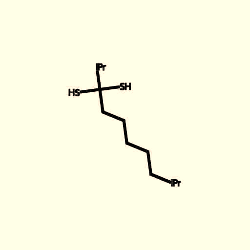 CC(C)CCCCCC(S)(S)C(C)C